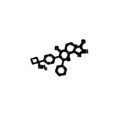 NC1(c2ccc(-c3c(-c4ccccc4)oc4c(ccn5c(=O)[nH]nc45)c3=O)cc2)CCC1